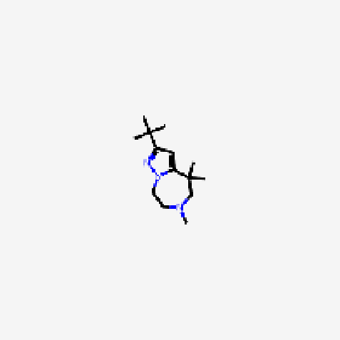 CN1CCn2nc(C(C)(C)C)cc2C(C)(C)C1